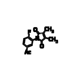 CC(=O)c1ccc(F)c(N2C(=O)C(C)=C(C)C2=O)c1